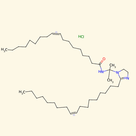 CCCCCCCC/C=C\CCCCCCCCC1=NCCN1C(C)(C)NC(=O)CCCCCCC/C=C\CCCCCCCC.Cl